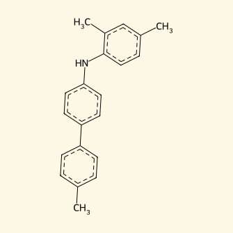 Cc1ccc(-c2ccc(Nc3ccc(C)cc3C)cc2)cc1